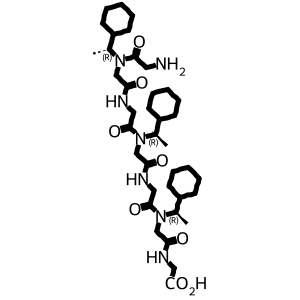 C[C@H](C1CCCCC1)N(CC(=O)NCC(=O)N(CC(=O)NCC(=O)N(CC(=O)NCC(=O)O)[C@H](C)C1CCCCC1)[C@H](C)C1CCCCC1)C(=O)CN